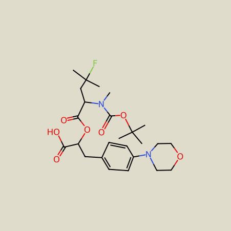 CN(C(=O)OC(C)(C)C)C(CC(C)(C)F)C(=O)OC(Cc1ccc(N2CCOCC2)cc1)C(=O)O